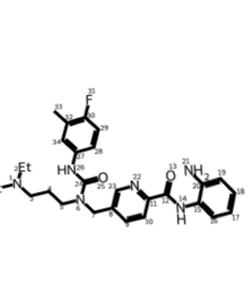 CCN(CC)CCCN(Cc1ccc(C(=O)Nc2ccccc2N)nc1)C(=O)Nc1ccc(F)c(C)c1